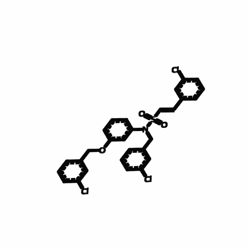 O=S(=O)(/C=C/c1cccc(Cl)c1)N(Cc1cccc(Cl)c1)c1cccc(OCc2cccc(Cl)c2)c1